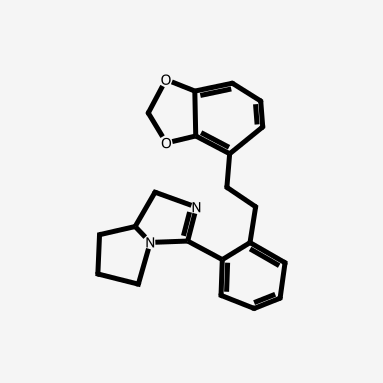 c1ccc(C2=NCC3CCCN23)c(CCc2cccc3c2OCO3)c1